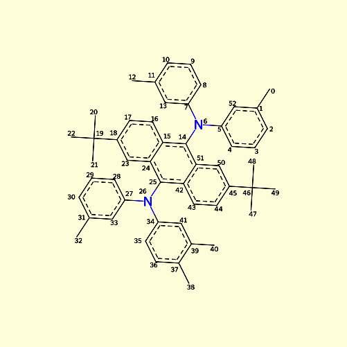 Cc1cccc(N(c2cccc(C)c2)c2c3ccc(C(C)(C)C)cc3c(N(c3cccc(C)c3)c3ccc(C)c(C)c3)c3ccc(C(C)(C)C)cc23)c1